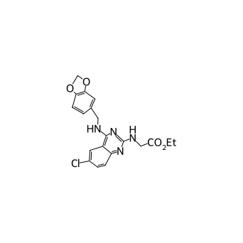 CCOC(=O)CNc1nc(NCc2ccc3c(c2)OCO3)c2cc(Cl)ccc2n1